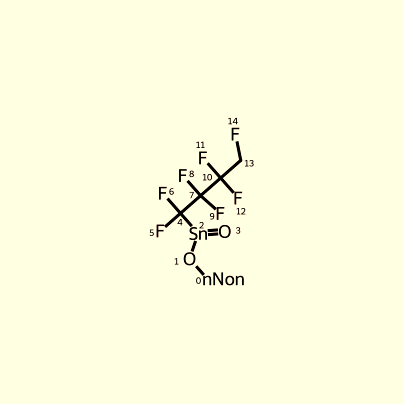 CCCCCCCCC[O][Sn](=[O])[C](F)(F)C(F)(F)C(F)(F)CF